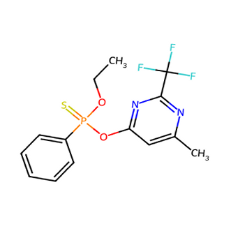 CCOP(=S)(Oc1cc(C)nc(C(F)(F)F)n1)c1ccccc1